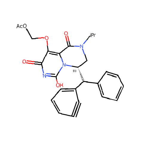 CC(=O)OCOc1c2n(c(O)nc1=O)[C@@H](C(c1c#cccc1)c1ccccc1)CN(C(C)C)C2=O